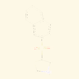 O=S(=O)(c1ccc2ccccc2c1)C1CNCS1